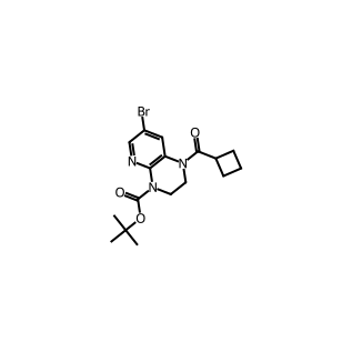 CC(C)(C)OC(=O)N1CCN(C(=O)C2CCC2)c2cc(Br)cnc21